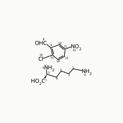 NCCCC[C@H](N)C(=O)O.O=Cc1cc([N+](=O)[O-])ccc1Cl